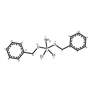 CCP(N)(CC)(OCc1ccccc1)OCc1ccccc1